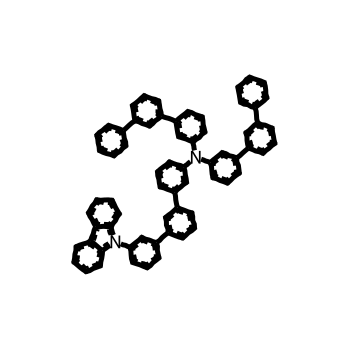 c1ccc(-c2cccc(-c3cccc(N(c4cccc(-c5cccc(-c6ccccc6)c5)c4)c4cccc(-c5cccc(-c6cccc(-n7c8ccccc8c8ccccc87)c6)c5)c4)c3)c2)cc1